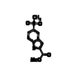 COC(=O)c1cc2cc(S(C)(=O)=O)ccc2s1